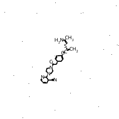 C=C(COC1=CCC(CC(=O)N2CCN(C3N=CC=CC3C#N)CC2)C=C1)S/C=C(/C)N